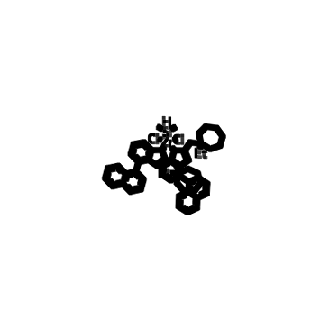 CCC1(CC2=Cc3c(-c4cccc5ccccc45)cccc3[CH]2[Zr]([Cl])([Cl])([CH]2C(CC3(CC)CCCCCC3)=Cc3c(-c4cccc5ccccc45)cccc32)[SiH](C)C)CCCCCC1